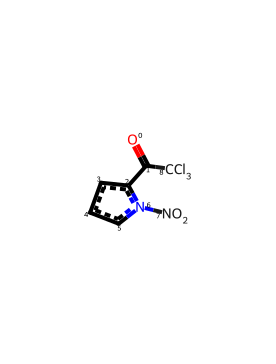 O=C(c1cccn1[N+](=O)[O-])C(Cl)(Cl)Cl